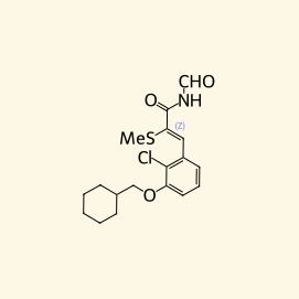 CS/C(=C\c1cccc(OCC2CCCCC2)c1Cl)C(=O)NC=O